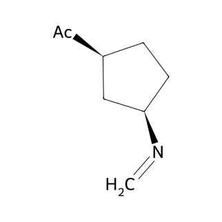 C=N[C@@H]1CC[C@H](C(C)=O)C1